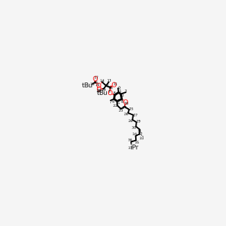 Cc1c(C)c2c(c(C)c1OC(=O)C(C)(COC(=O)C(C)(C)C)COC(C)(C)C)CCC(CCCCCCC[C@H](C)CCCC(C)C)O2